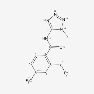 CCSc1cc(C(F)(F)F)ccc1C(=O)Nc1nnnn1C